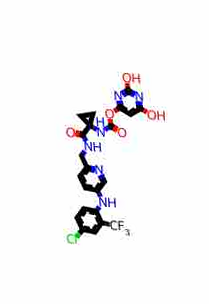 O=C(NC1(C(=O)NCc2ccc(Nc3ccc(Cl)cc3C(F)(F)F)cn2)CC1)Oc1cc(O)nc(O)n1